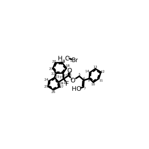 CBr.O=C(OCC(=CO)c1ccccc1)C1(F)c2ccccc2-c2ccccc21